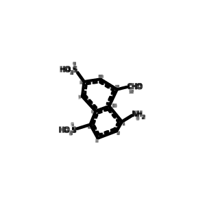 Nc1ccc(S(=O)(=O)O)c2cc(S(=O)(=O)O)cc(C=O)c12